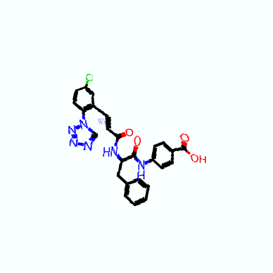 O=C(/C=C/c1cc(Cl)ccc1-n1cnnn1)NC(Cc1ccccc1)C(=O)Nc1ccc(C(=O)O)cc1